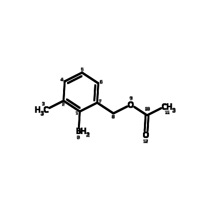 Bc1c(C)cccc1COC(C)=O